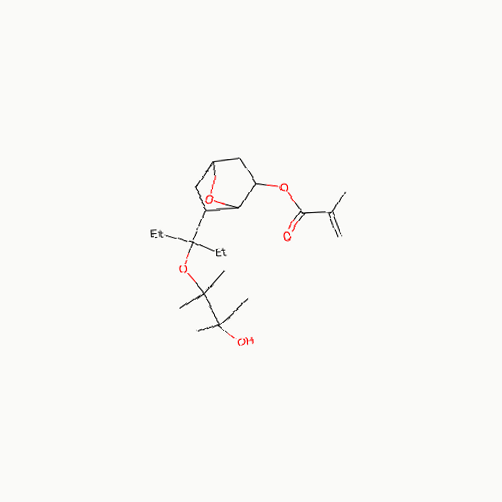 C=C(C)C(=O)OC1CC2CC(C(CC)(CC)OC(C)(C)C(C)(C)O)C1O2